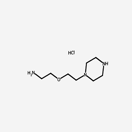 Cl.NCCOCCN1CCNCC1